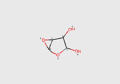 OC1OC2OC2C1O